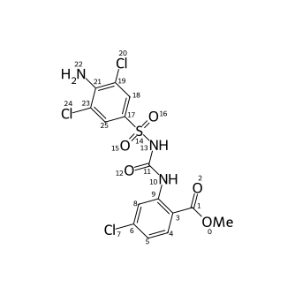 COC(=O)c1ccc(Cl)cc1NC(=O)NS(=O)(=O)c1cc(Cl)c(N)c(Cl)c1